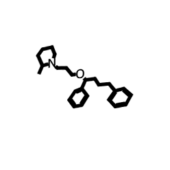 CC1CCCCN1CCCOC(CCCc1ccccc1)c1ccccc1